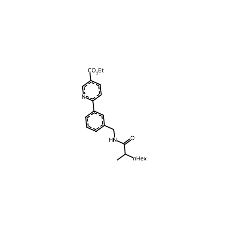 CCCCCCC(C)C(=O)NCc1cccc(-c2ccc(C(=O)OCC)cn2)c1